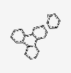 c1ccc2c(c1)c1ccccc1c1ccccc21.c1ccncc1